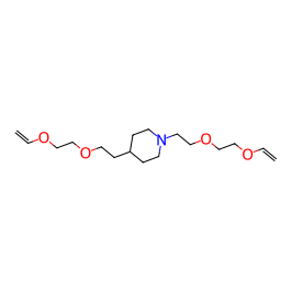 C=COCCOCCC1CCN(CCOCCOC=C)CC1